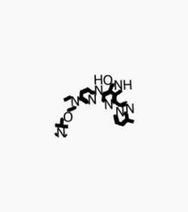 CCN(CCOCC(C)(C)N(C)C)c1ccc(Nc2cnc(-c3cnc4c(C)cccn34)c3c2C(=O)NC3)nc1